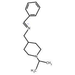 CC(C)N1CCC(C/N=C/c2ccccc2)CC1